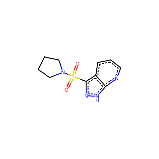 O=S(=O)(c1n[nH]c2ncccc12)N1CCCC1